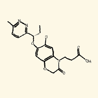 CC[C@H](Oc1cc2c(cc1Cl)N(CCC(=O)O)C(=O)CO2)c1ccc(C)nn1